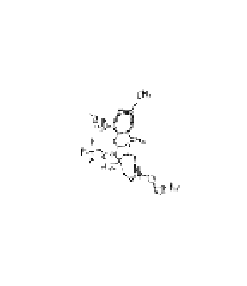 CON1CCC(C)(N(OCC(F)(F)F)C(=O)Cc2c(C)cc(C)cc2C)CC1